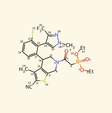 CCOP(=O)(CC(=O)N1Cc2sc(C#N)c(C)c2C(c2cccc(F)c2-c2cn(C)nc2C(F)(F)F)C1)OCC